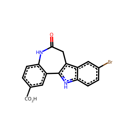 O=C1Cc2c([nH]c3ccc(Br)cc23)-c2cc(C(=O)O)ccc2N1